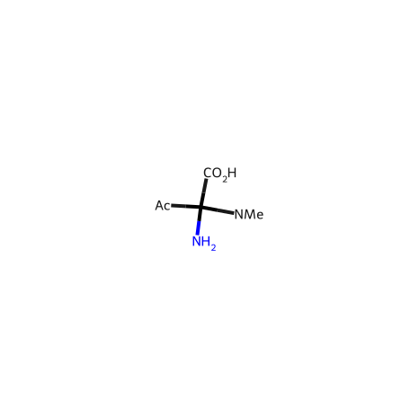 CNC(N)(C(C)=O)C(=O)O